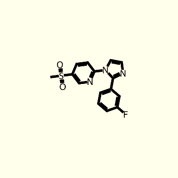 CS(=O)(=O)c1ccc(-n2ccnc2-c2cccc(F)c2)nc1